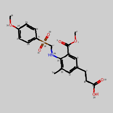 COC(=O)c1cc(CCC(=O)O)cc(C)c1NCS(=O)(=O)c1ccc(OC)cc1